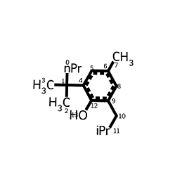 CCCC(C)(C)c1cc(C)cc(CC(C)C)c1O